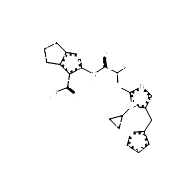 CC(Sc1ncc(Cc2cccs2)n1C1CC1)C(=O)Nc1sc2c(c1C(N)=O)CCC2